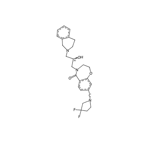 O=C1c2ccc(CN3CCC(F)(F)C3)cc2OCCN1C[C@H](O)CN1CCc2ccccc2C1